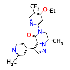 CCOc1cc(N2C[C@H](C)n3ncc(-c4ccnc(C)c4)c3C2=O)ncc1C(F)(F)F